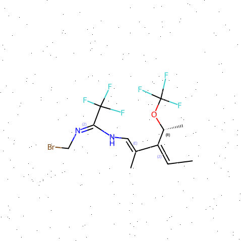 C/C=C(/C(C)=C/N/C(=N\CBr)C(F)(F)F)[C@@H](C)OC(F)(F)F